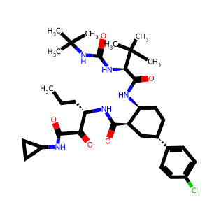 CCC[C@H](NC(=O)[C@@H]1C[C@@H](c2ccc(Cl)cc2)CC[C@@H]1NC(=O)[C@@H](NC(=O)NC(C)(C)C)C(C)(C)C)C(=O)C(=O)NC1CC1